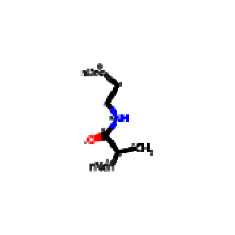 CCCCCCCCCCCCNC(=O)C(C)CCCCCCCCC